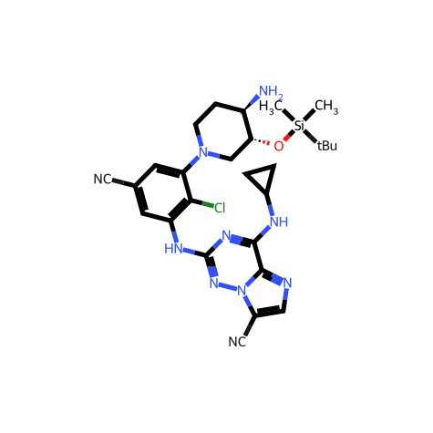 CC(C)(C)[Si](C)(C)O[C@@H]1CN(c2cc(C#N)cc(Nc3nc(NC4CC4)c4ncc(C#N)n4n3)c2Cl)CC[C@H]1N